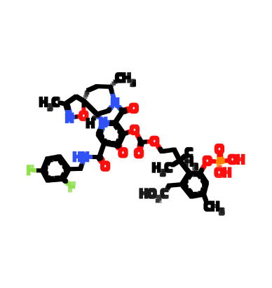 CC1=NO[C@@]2(CC[C@H](C)N3C[C@H]2n2cc(C(=O)NCc4ccc(F)cc4F)c(=O)c(OC(=O)OCCC(C)(C)c4c(CC(=O)O)cc(C)cc4OP(=O)(O)O)c2C3=O)C1